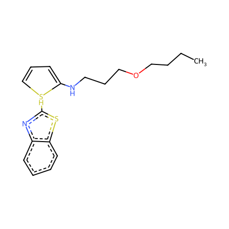 CCCCOCCCNC1=CC=C[SH]1c1nc2ccccc2s1